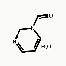 O.O=CN1C=CC=NC1